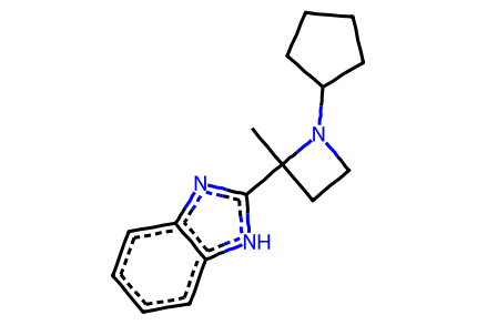 CC1(c2nc3ccccc3[nH]2)CCN1C1CCCC1